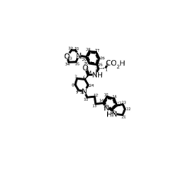 O=C(O)C[C@H](NC(=O)[C@@H]1CCCN(CCCc2ccc3c(n2)NCCC3)C1)c1cccc(N2CCOCC2)c1